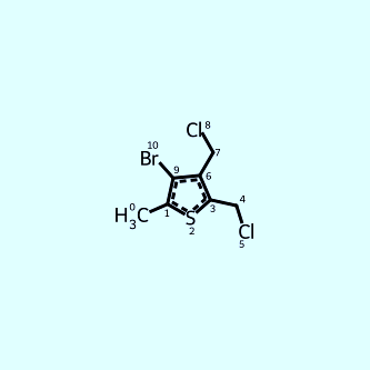 Cc1sc(CCl)c(CCl)c1Br